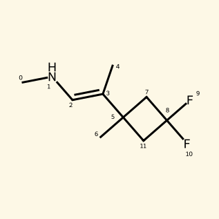 CN/C=C(\C)C1(C)CC(F)(F)C1